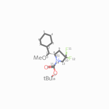 COC(C1CCCCC1)[C@@H]1CC(F)(F)CN1C(=O)OC(C)(C)C